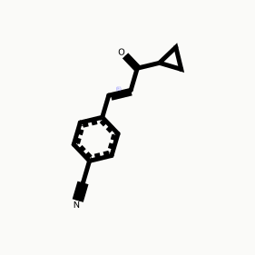 N#Cc1ccc(/C=C/C(=O)C2CC2)cc1